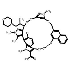 Cc1c2c(nn1C)C(C(C)CN1CCOCC1)OCc1cc(n(C)n1)CCc1cc(c3ccccc3c1)OCCCc1c(C(=O)O)n(C)c3c-2c(Cl)ccc13